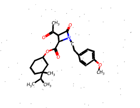 COc1ccc(CCN2C(=O)C(C(C)=O)C2C(=O)OC2CCCC(C)(C(C)C)C2)cc1